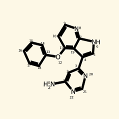 Nc1cc(-c2c[nH]c3nccc(Oc4ccccc4)c23)ncn1